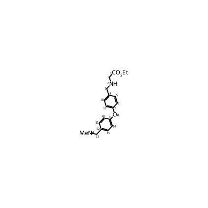 CCOC(=O)CNCc1ccc(Oc2ccc(CNC)cc2)cc1